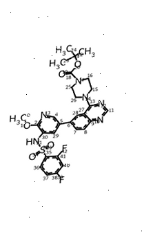 COc1ncc(-c2ccc3ncnc(N4CCN(C(=O)OC(C)(C)C)CC4)c3c2)cc1NS(=O)(=O)c1ccc(F)cc1F